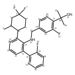 CC1CC(F)(F)CCC1c1nccc(-c2ncccc2F)c1NCc1cnc(C(C)(C)O)c(F)c1